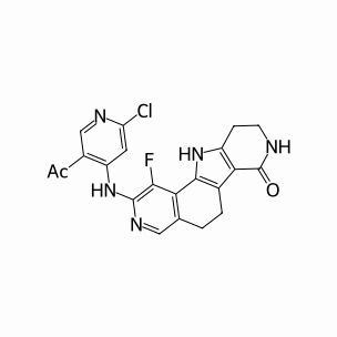 CC(=O)c1cnc(Cl)cc1Nc1ncc2c(c1F)-c1[nH]c3c(c1CC2)C(=O)NCC3